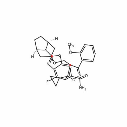 NC(=O)c1cc(F)c2nc(N3[C@@H]4CC[C@H]3C[C@@H](OCc3c(-c5ccccc5OC(F)(F)F)noc3C3CC3)C4)sc2c1